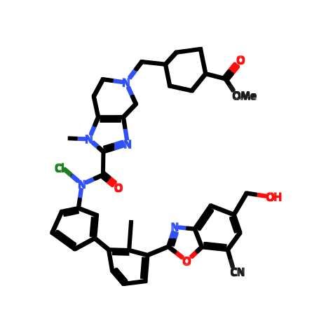 COC(=O)C1CCC(CN2CCc3c(nc(C(=O)N(Cl)c4cccc(-c5cccc(-c6nc7cc(CO)cc(C#N)c7o6)c5C)c4)n3C)C2)CC1